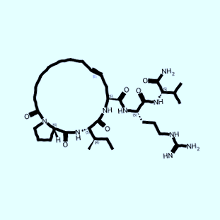 CC[C@@H](C)[C@@H]1NC(=O)[C@@H]2CCCN2C(=O)CCCCCCC/C=C/C[C@@H](C(=O)N[C@@H](CCCNC(=N)N)C(=O)N[C@H](C(N)=O)C(C)C)NC1=O